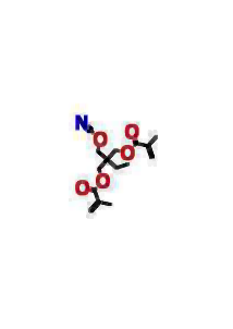 C=C(C)C(=O)OCC(CC)(COC#N)COC(=O)C(=C)C